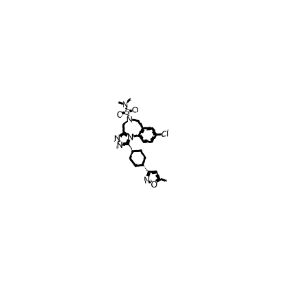 Cc1cc([C@H]2CC[C@H](c3nnc4n3-c3ccc(Cl)cc3CN(S(=O)(=O)N(C)C)C4)CC2)no1